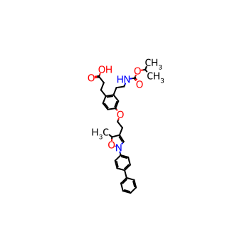 CC(C)OC(=O)NCCc1cc(OCCC2=CN(c3ccc(-c4ccccc4)cc3)OC2C)ccc1CCC(=O)O